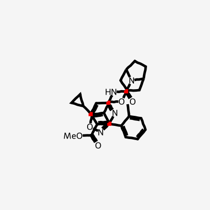 COC(=O)c1ccc(NC(=O)N2C3CCC2CC(OCc2c(-c4ccccc4C)noc2C2CC2)C3)nc1